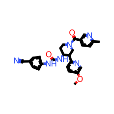 COc1ccc(C2CN(C(=O)c3ccc(C)nc3)CCC2NC(=O)Nc2ccc(C#N)cc2)nc1